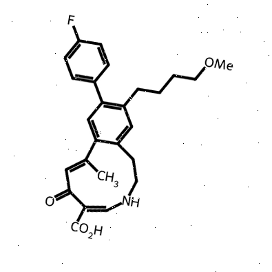 COCCCCc1cc2c(cc1-c1ccc(F)cc1)/C(C)=C/C(=O)/C(C(=O)O)=C\NCC2